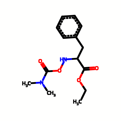 CCOC(=O)C(Cc1ccccc1)NOC(=O)N(C)C